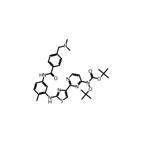 Cc1ccc(NC(=O)c2ccc(CN(C)C)cc2)cc1Nc1nc(-c2nccc(N(OC(C)(C)C)C(=O)OC(C)(C)C)n2)cs1